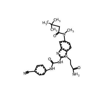 CN(C(=O)CC(C)(C)C)c1ccc2c(c1)nc(NC(=O)Nc1ccc(C#N)cc1)n2CCC(N)=O